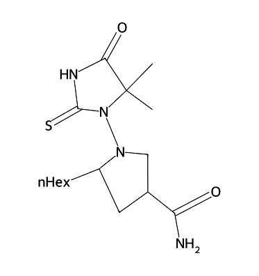 CCCCCCC1CC(C(N)=O)CN1N1C(=S)NC(=O)C1(C)C